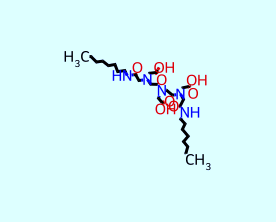 CCCCCCCCNC(=O)CN(CCN(CCN(CC(=O)O)CC(=O)NCCCCCCCC)CC(=O)O)CC(=O)O